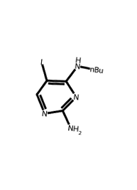 CCCCNc1nc(N)ncc1I